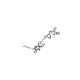 CCCCCCCn1nc(OCCCOc2cccc(OC(C)(CCC)C(=O)O)c2)c(=O)n(C)c1=O